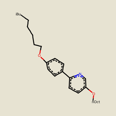 CCCCCCCCOc1ccc(-c2ccc(OCCCCCC(C)CC)cc2)nc1